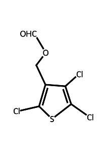 O=COCc1c(Cl)sc(Cl)c1Cl